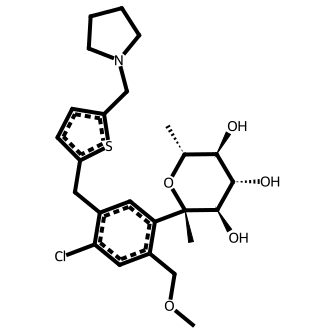 COCc1cc(Cl)c(Cc2ccc(CN3CCCC3)s2)cc1[C@]1(C)O[C@H](C)[C@@H](O)[C@H](O)[C@H]1O